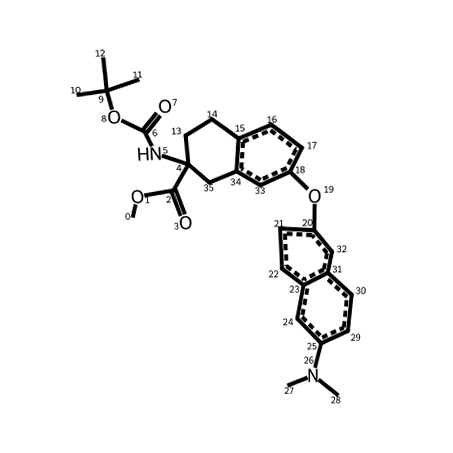 COC(=O)C1(NC(=O)OC(C)(C)C)CCc2ccc(Oc3ccc4cc(N(C)C)ccc4c3)cc2C1